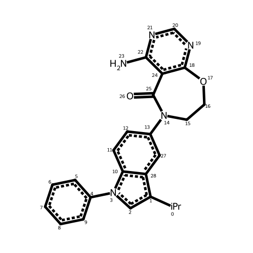 CC(C)c1cn(-c2ccccc2)c2ccc(N3CCOc4ncnc(N)c4C3=O)cc12